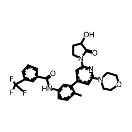 Cc1ccc(NC(=O)c2cccc(C(F)(F)F)c2)cc1-c1cc(N2CCOCC2)nc(N2CCC(O)C2=O)c1